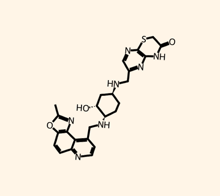 Cc1nc2c(ccc3nccc(CN[C@H]4CC[C@H](NCc5cnc6c(n5)NC(=O)CS6)C[C@H]4O)c32)o1